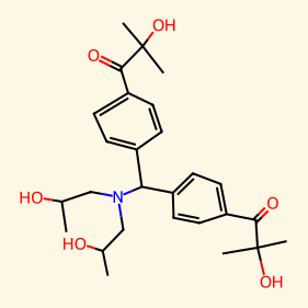 CC(O)CN(CC(C)O)C(c1ccc(C(=O)C(C)(C)O)cc1)c1ccc(C(=O)C(C)(C)O)cc1